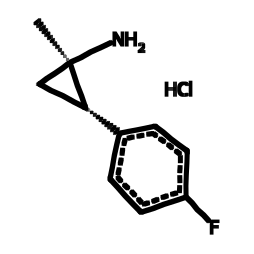 C[C@@]1(N)C[C@H]1c1ccc(F)cc1.Cl